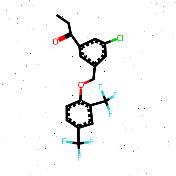 CCC(=O)c1cc(Cl)cc(COc2ccc(C(F)(F)F)cc2C(F)(F)F)c1